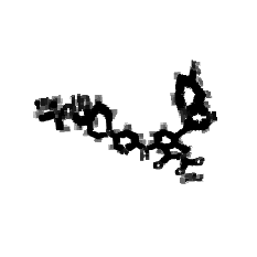 CC(C)(C)OC(=O)N1Cc2c(-c3cnc4cc(F)ccn34)ccc(Nc3ccc(N4CCC(O)(CO[Si](C)(C)C(C)(C)C)CC4)cn3)c2C1=O